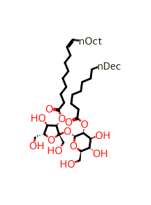 CCCCCCCC/C=C\CCCCCCCC(=O)O[C@H]1[C@H](O)[C@@H](CO)O[C@@]1(CO)O[C@H]1O[C@H](CO)[C@@H](O)[C@H](O)[C@H]1OC(=O)CCCCCCCCCCCCCCCCC